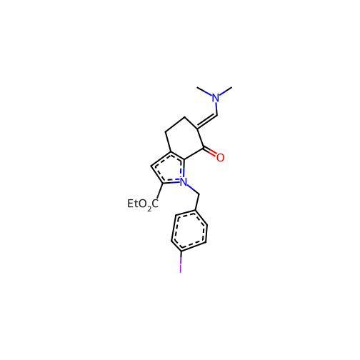 CCOC(=O)c1cc2c(n1Cc1ccc(I)cc1)C(=O)C(=CN(C)C)CC2